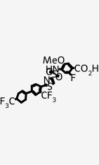 COc1cc(C(=O)O)c(F)cc1NS(=O)(=O)c1csc(-c2ccc(C3=CCC(C(F)(F)F)CC3)cc2C(F)(F)F)n1